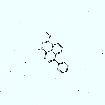 COC(=O)c1cccc(C(=O)c2ccccc2)c1C(=O)OC